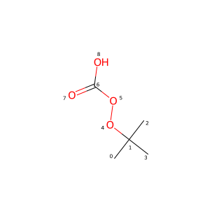 CC(C)(C)OOC(=O)O